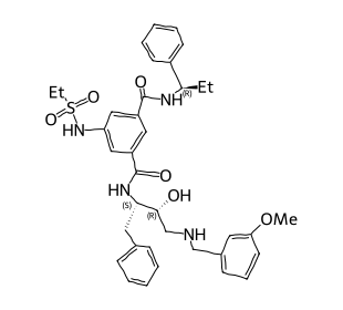 CC[C@@H](NC(=O)c1cc(NS(=O)(=O)CC)cc(C(=O)N[C@@H](Cc2ccccc2)[C@H](O)CNCc2cccc(OC)c2)c1)c1ccccc1